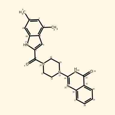 Cc1cc(C)c2cc(C(=O)N3CCN(c4nc5ccccc5c(=O)[nH]4)CC3)[nH]c2c1